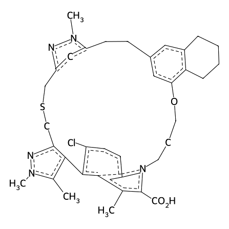 Cc1c(C(=O)O)n2c3ccc(Cl)c(c13)-c1c(nn(C)c1C)CSCc1cc(n(C)n1)CCc1cc3c(c(c1)OCCC2)CCCC3